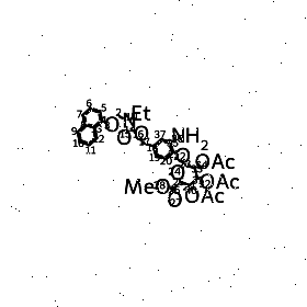 CCN(COc1cccc2ccccc12)C(=O)OCc1ccc(O[C@@H]2O[C@H](C(=O)OC)[C@@H](OC(C)=O)[C@H](OC(C)=O)[C@H]2OC(C)=O)c(N)c1